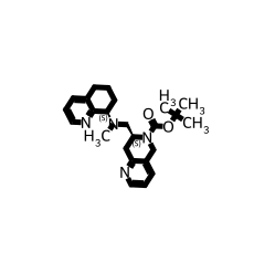 CN(C[C@@H]1Cc2ncccc2CN1C(=O)OC(C)(C)C)[C@H]1CCCc2cccnc21